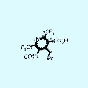 CC(C)Cc1c(C(=O)O)c(C(F)(F)F)nc(C(F)(F)F)c1C(=O)O